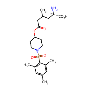 Cc1cc(C)c(S(=O)(=O)N2CCC(OC(=O)CC(C)C[C@H](N)C(=O)O)CC2)c(C)c1